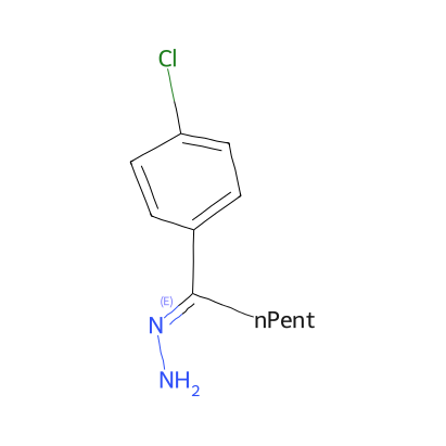 CCCCC/C(=N\N)c1ccc(Cl)cc1